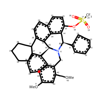 COc1ccc(CN2[C@H](c3ccccc3)c3c(OS(=O)(=O)C(F)(F)F)ccc4ccc(C5CCCCC5)c(c34)[C@@H]2c2ccccc2)c(OC)c1